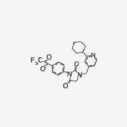 O=C1CN(Cc2ccnc(C3CCCCC3)c2)C(=O)N1c1ccc(S(=O)(=O)C(F)(F)F)cc1